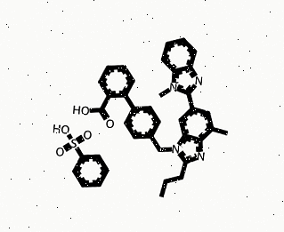 CCCc1nc2c(C)cc(-c3nc4ccccc4n3C)cc2n1Cc1ccc(-c2ccccc2C(=O)O)cc1.O=S(=O)(O)c1ccccc1